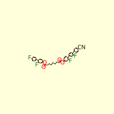 N#Cc1ccc(-c2ccc(-c3ccc(OC(=O)CCCCCCCC(=O)Oc4ccc(-c5ccc(F)cc5)c(F)c4)cc3F)cc2F)cc1